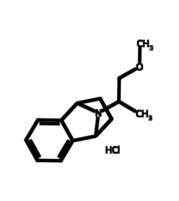 COCC(C)N1C2CCC1c1ccccc12.Cl